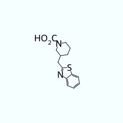 O=C(O)N1CCCC(Cc2nc3ccccc3s2)C1